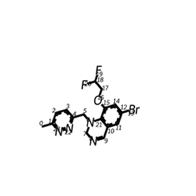 Cc1ccc(CN2CN=Cc3cc(Br)cc(OCC(F)F)c32)nn1